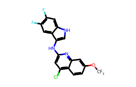 Fc1cc2[nH]cc(Nc3cc(Cl)c4ccc(OC(F)(F)F)cc4n3)c2cc1F